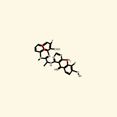 CC(C)Oc1ccc(C(=N)c2c(N)ncnc2NC(C)/C(=N/c2cccc(F)c2C=O)N(C)c2ccccc2)c(F)c1F